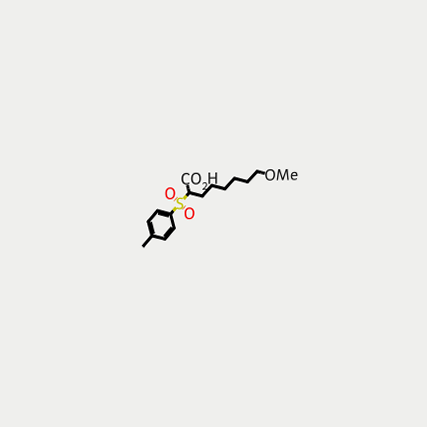 COCCCCCCC(C(=O)O)S(=O)(=O)c1ccc(C)cc1